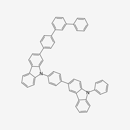 c1ccc(-c2cccc(-c3ccc(-c4ccc5c6ccccc6n(-c6ccc(-c7ccc8c(c7)c7ccccc7n8-c7ccccc7)cc6)c5c4)cc3)c2)cc1